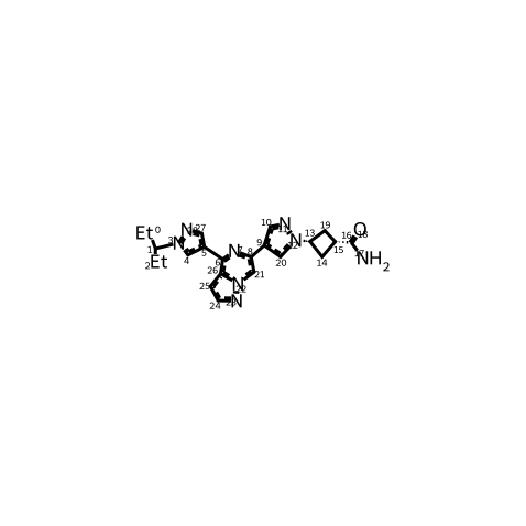 CCC(CC)n1cc(-c2nc(-c3cnn([C@H]4C[C@@H](C(N)=O)C4)c3)cn3nccc23)cn1